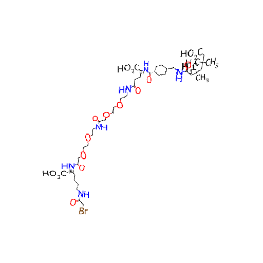 CC(C)(CC(=O)O)CC(C)(C)CC(=O)NC[C@H]1CC[C@H](C(=O)N[C@@H](CCC(=O)NCCOCCOCC(=O)NCCOCCOCC(=O)N[C@@H](CCCCNC(=O)CBr)C(=O)O)C(=O)O)CC1